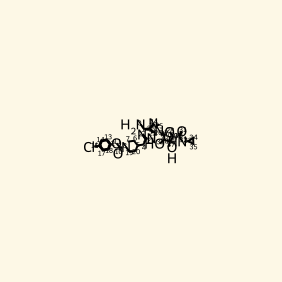 Nc1nc(CC2CCN(C(=O)Oc3ccc(Cl)cc3)CC2)nc2c1ncn2[C@@H]1O[C@H](C(=O)NC2CC2)C(O)C1O